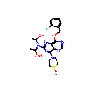 CC(O)N(c1nc(N2CC[S+]([O-])CC2)c2ncnc(OCc3ccccc3F)c2n1)C(C)O